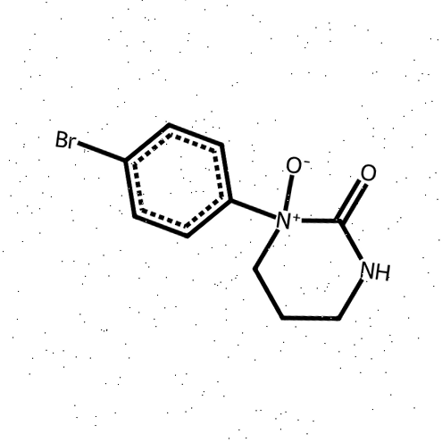 O=C1NCCC[N+]1([O-])c1ccc(Br)cc1